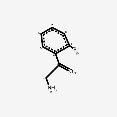 NCC(=O)c1ccccc1Br